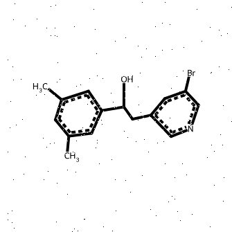 Cc1cc(C)cc(C(O)Cc2cncc(Br)c2)c1